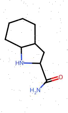 NC(=O)C1CC2CCCCC2N1